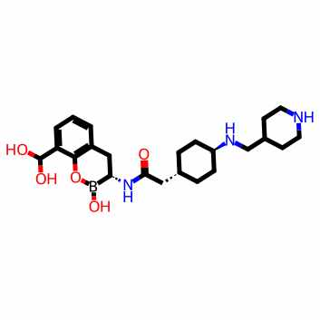 O=C(C[C@H]1CC[C@H](NCC2CCNCC2)CC1)N[C@H]1Cc2cccc(C(O)O)c2OB1O